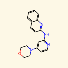 c1ccc2nc(Nc3cc(N4CCOCC4)ccn3)ccc2c1